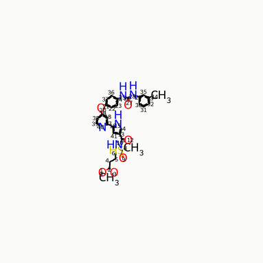 COC(=O)CCC[SH](C)(=O)NC(=O)c1c[nH]c(-c2cc(Oc3ccc(NC(=O)Nc4cccc(C)c4)cc3)ccn2)c1